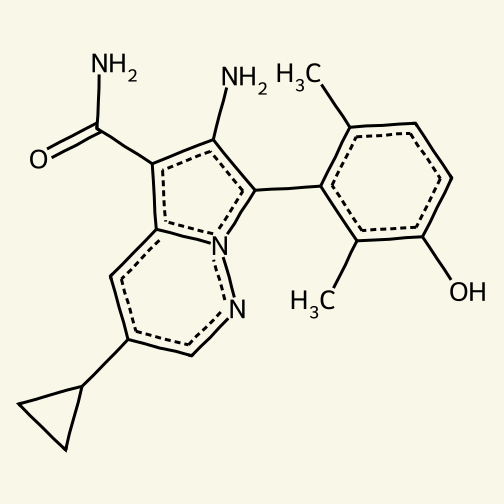 Cc1ccc(O)c(C)c1-c1c(N)c(C(N)=O)c2cc(C3CC3)cnn12